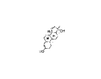 CC1(O)C=C[C@H]2[C@@H]3CCC4C=C(O)CC[C@]4(C)[C@@H]3CC[C@@]21C